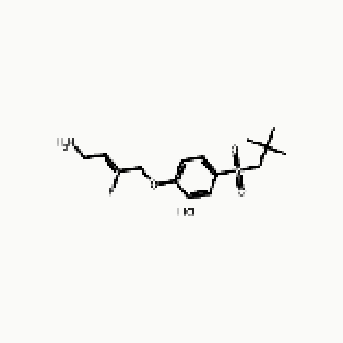 CC(C)(C)CS(=O)(=O)c1ccc(OCC(F)=CCN)cc1.Cl